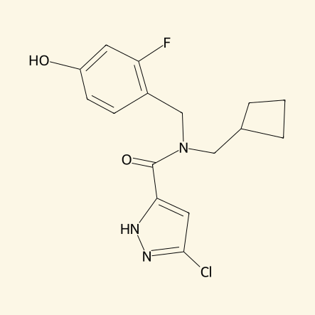 O=C(c1cc(Cl)n[nH]1)N(Cc1ccc(O)cc1F)CC1CCC1